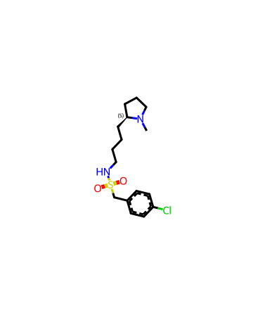 CN1CCC[C@@H]1CCCCNS(=O)(=O)Cc1ccc(Cl)cc1